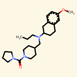 CCCN(CC1CCN(C(=O)N2CCCC2)CC1)C1CCc2cc(OC)ccc2C1